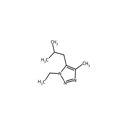 CCn1nnc(C)c1CC(C)C